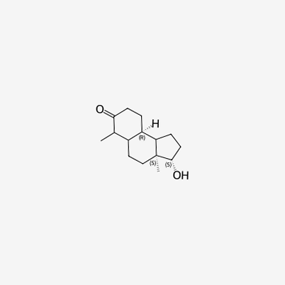 CC1C(=O)CC[C@@H]2C1CC[C@@]1(C)C2CC[C@@H]1O